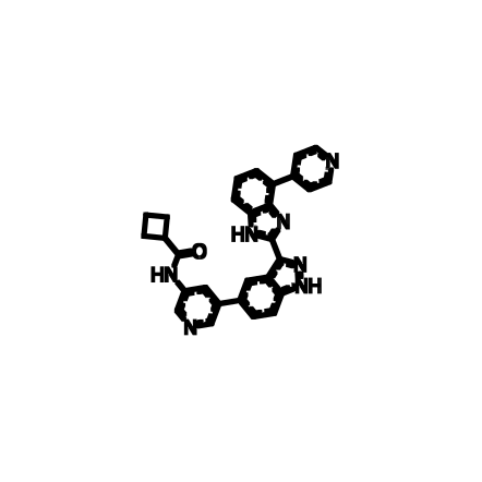 O=C(Nc1cncc(-c2ccc3[nH]nc(-c4nc5c(-c6ccncc6)cccc5[nH]4)c3c2)c1)C1CCC1